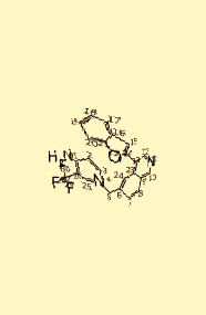 Nc1cc[n+](Cc2ccc3cncc(-c4cc5ccccc5o4)c3c2)cc1C(F)(F)F